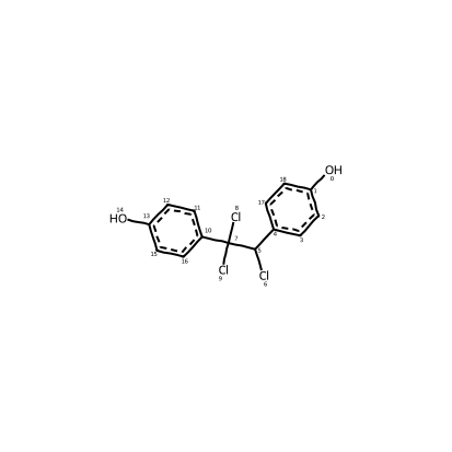 Oc1ccc(C(Cl)C(Cl)(Cl)c2ccc(O)cc2)cc1